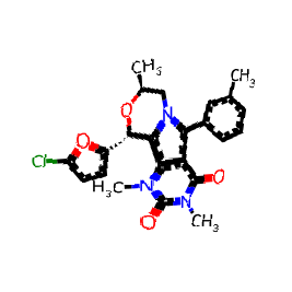 Cc1cccc(-c2c3c(=O)n(C)c(=O)n(C)c3c3n2C[C@H](C)O[C@H]3c2ccc(Cl)o2)c1